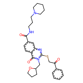 O=C(CSc1nc2cc(C(=O)NCCCN3CCCCC3)ccc2c(=O)n1CC1CCCO1)c1ccccc1